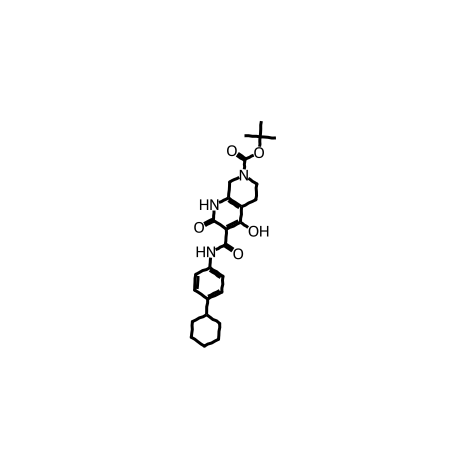 CC(C)(C)OC(=O)N1CCc2c([nH]c(=O)c(C(=O)Nc3ccc(C4CCCCC4)cc3)c2O)C1